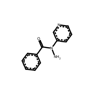 NN(C(=O)c1ccccc1)c1cccnc1